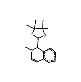 CN1C=Cc2ccccc2C1B1OC(C)(C)C(C)(C)O1